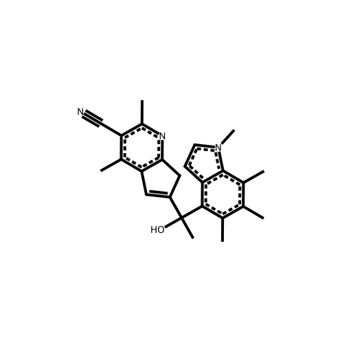 Cc1nc2c(c(C)c1C#N)C=C(C(C)(O)c1c(C)c(C)c(C)c3c1ccn3C)C2